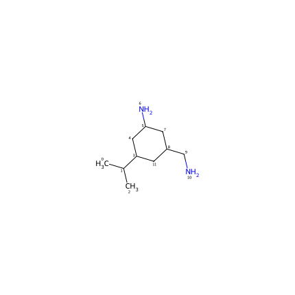 CC(C)C1CC(N)CC(CN)C1